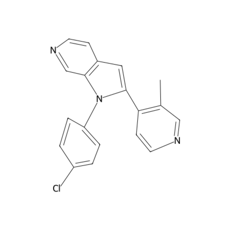 Cc1cnccc1-c1cc2ccncc2n1-c1ccc(Cl)cc1